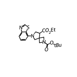 CCOC(=O)C1CN(c2cccc3ncsc23)CC12CN(C(=O)OC(C)(C)C)C2